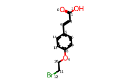 O=C(O)/C=C/c1ccc(OCCBr)cc1